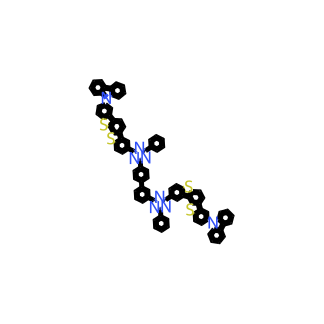 c1ccc(-c2nc(-c3ccc(-c4cccc(-c5nc(-c6ccccc6)nc(-c6ccc7sc8ccc9c%10cc(-n%11c%12ccccc%12c%12ccccc%12%11)ccc%10sc9c8c7c6)n5)c4)cc3)nc(-c3ccc4sc5c(ccc6c7cc(-n8c9ccccc9c9ccccc98)ccc7sc65)c4c3)n2)cc1